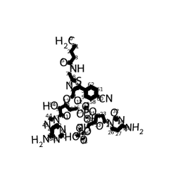 C=CCCC(=O)NCc1nc(C(=O)OC2C(COP(=O)(O)O[C@@H]3C[C@H](n4ccc(N)nc4=O)OC3COP(=O)(O)O)OC(n3cnc4c(N)ncnc43)C2O)c(-c2ccc(C#N)cc2)s1